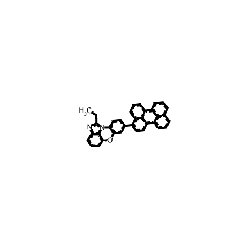 CCc1nc2cccc3c2n1-c1ccc(-c2ccc4c5cccc6cccc(c7cccc2c74)c65)cc1O3